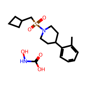 Cc1ccccc1C1CCN(S(=O)(=O)CC2CCC2)CC1.O=C(O)NO